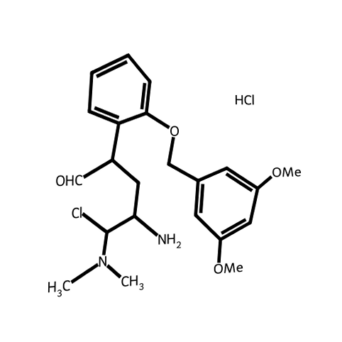 COc1cc(COc2ccccc2C(C=O)CC(N)C(Cl)N(C)C)cc(OC)c1.Cl